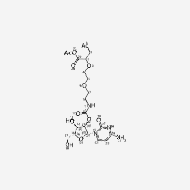 CC(=O)CC(OCCOCCNC(=O)O[C@@H]1[C@H](O)[C@@H](CO)O[C@H]1n1ccc(N)nc1=O)C(=O)OC(C)=O